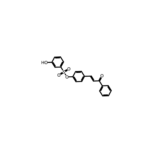 O=C(/C=C/c1ccc(OS(=O)(=O)c2cccc(O)c2)cc1)c1ccccc1